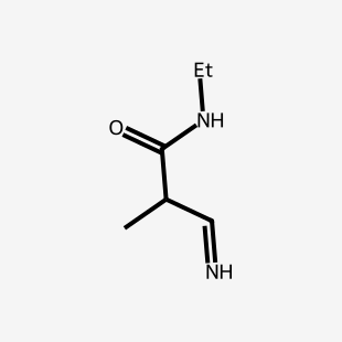 CCNC(=O)C(C)C=N